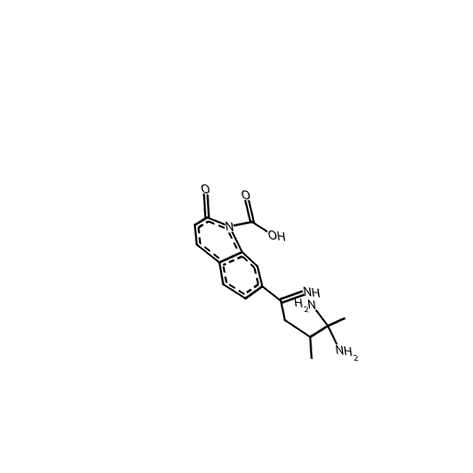 CC(CC(=N)c1ccc2ccc(=O)n(C(=O)O)c2c1)C(C)(N)N